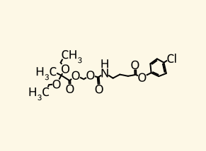 CCOC(C)(OCC)C(=O)OCOC(=O)NCCCC(=O)Oc1ccc(Cl)cc1